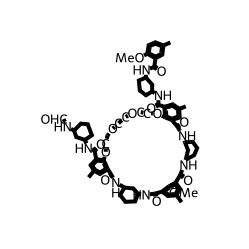 COc1ccc(C)cc1C(=O)NC1CCCC(NC(=O)c2cc(C)cc3c2OCCOCCOCCOc2c(C(=O)NC4CCCC(NC=O)C4)cc(C)cc2C(=O)NC2CCCC(C2)NC(=O)c2cc(C)cc(c2OC)C(=O)NC2CCCC(C2)NC3=O)C1